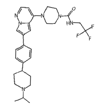 CC(C)N1CCC(c2ccc(-c3cc4c(N5CCN(C(=O)NCC(F)(F)F)CC5)ccnn4c3)cc2)CC1